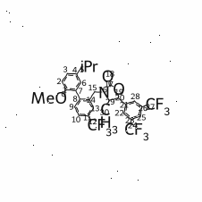 COc1ccc(C(C)C)cc1-c1ccc(C(F)(F)F)cc1CN1C(=O)OC(c2cc(C(F)(F)F)cc(C(F)(F)F)c2)C1C